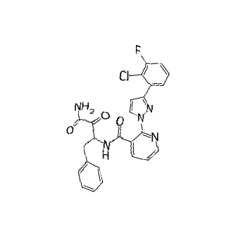 NC(=O)C(=O)C(Cc1ccccc1)NC(=O)c1cccnc1-n1ccc(-c2cccc(F)c2Cl)n1